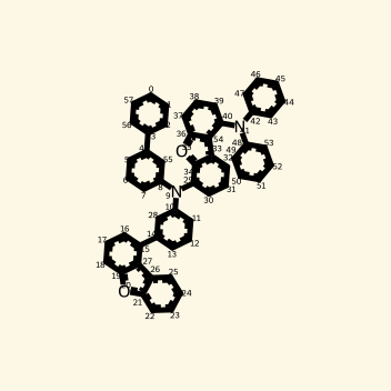 c1ccc(-c2cccc(N(c3cccc(-c4cccc5oc6ccccc6c45)c3)c3cccc4c3oc3cccc(N(c5ccccc5)c5ccccc5)c34)c2)cc1